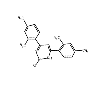 Cc1ccc(C2=CC(c3ccc(C)cc3C)=NN(Cl)N2)c(C)c1